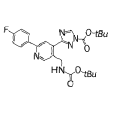 CC(C)(C)OC(=O)NCc1cnc(-c2ccc(F)cc2)cc1-c1ncn(C(=O)OC(C)(C)C)n1